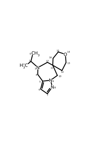 CC(C)N1Cc2ccnn2CC2(CCOCC2)C1